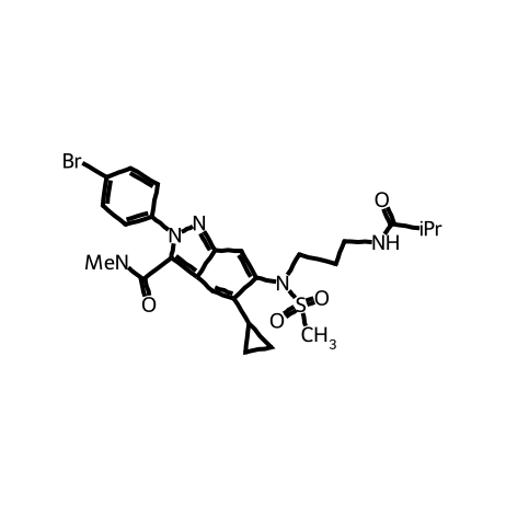 CNC(=O)c1c2cc(C3CC3)c(N(CCCNC(=O)C(C)C)S(C)(=O)=O)cc2nn1-c1ccc(Br)cc1